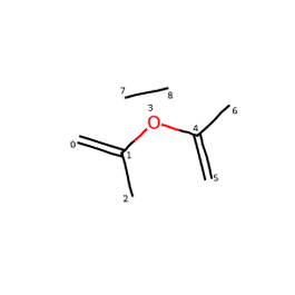 C=C(C)OC(=C)C.CC